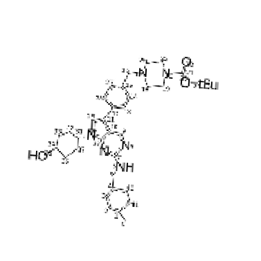 Cc1ccc(CNc2ncc3c(-c4ccc(CN5CCN(C(=O)OC(C)(C)C)CC5)cc4)cn([C@H]4CC[C@H](O)CC4)c3n2)cc1